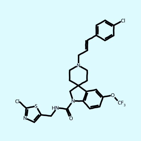 O=C(NCc1cnc(Cl)s1)N1CC2(CCN(CC=Cc3ccc(Cl)cc3)CC2)c2cc(OC(F)(F)F)ccc21